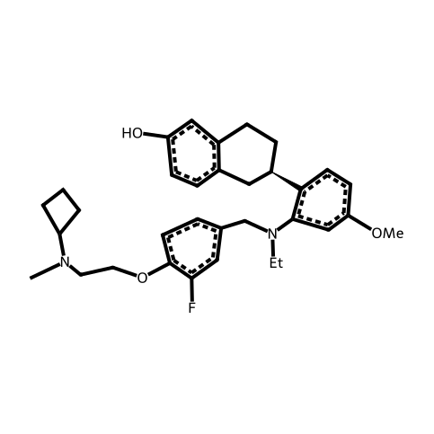 CCN(Cc1ccc(OCCN(C)C2CCC2)c(F)c1)c1cc(OC)ccc1[C@@H]1CCc2cc(O)ccc2C1